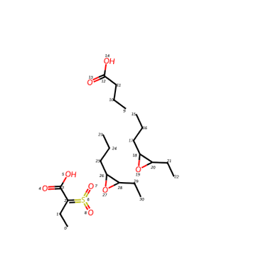 CCC(C(=O)O)=S(=O)=O.CCCC(=O)O.CCCC1OC1CC.CCCC1OC1CC